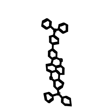 c1ccc(N(c2ccccc2)c2ccc(-c3ccc4c(c3)Oc3ccc5c6c(ccc-4c36)Oc3cc(N(c4ccccc4)c4ccccc4)ccc3-5)cc2)cc1